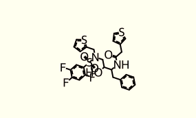 O=C(Cc1ccsc1)NC(Cc1ccccc1)C(O)CN(Cc1cccs1)S(=O)(=O)c1cc(F)c(F)cc1F